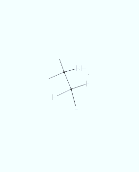 BC(C)(C)C(F)(F)F